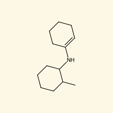 CC1CCCCC1NC1=CCCCC1